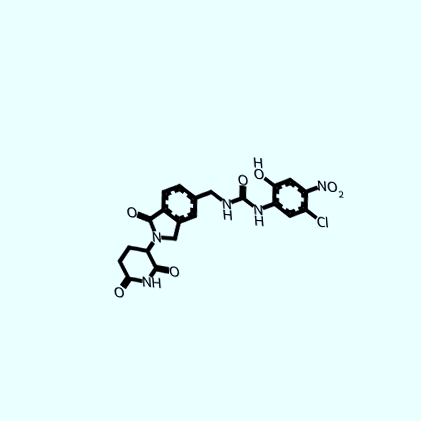 O=C1CCC(N2Cc3cc(CNC(=O)Nc4cc(Cl)c([N+](=O)[O-])cc4O)ccc3C2=O)C(=O)N1